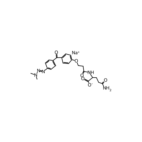 CN(C)/N=N/c1ccc(C(=O)c2ccc(OCCC(=O)NC(CCC(N)=O)C(=O)[O-])cc2)cc1.[Na+]